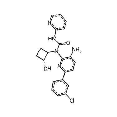 Nc1ccc(-c2cccc(Cl)c2)nc1N(C(=O)Nc1ccccn1)C1CC[C@H]1O